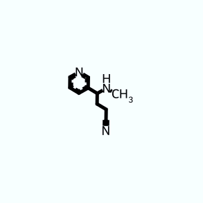 CNC(CCC#N)c1cccnc1